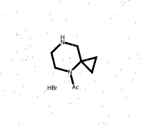 Br.CC(=O)N1CCNCC12CC2